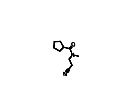 CN(CCC#N)C(=O)C1CCCC1